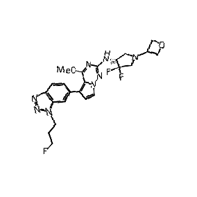 COc1nc(N[C@@H]2CN(C3COC3)CC2(F)F)nn2ccc(-c3ccc4nnn(CCCF)c4c3)c12